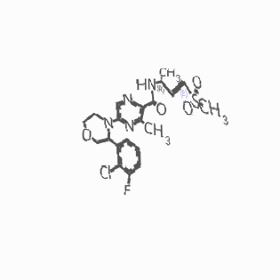 Cc1nc(N2CCOCC2c2cccc(F)c2Cl)cnc1C(=O)N[C@H](C)/C=C/S(C)(=O)=O